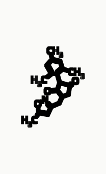 Cc1cc(C)c(C2C(=O)CC(Cc3cc(C)on3)C2=O)c(C)c1